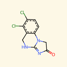 O=C1CN2C(=N1)NCc1c2ccc(Cl)c1Cl